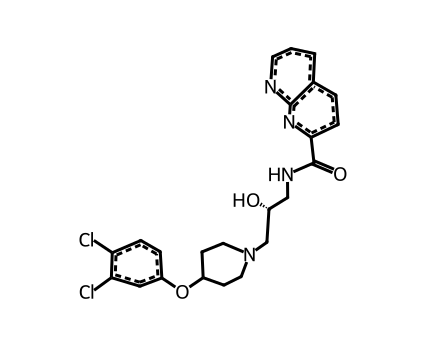 O=C(NC[C@@H](O)CN1CCC(Oc2ccc(Cl)c(Cl)c2)CC1)c1ccc2cccnc2n1